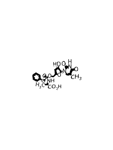 Cc1cn([C@@H]2OC(CO[P@@](=O)(NC(C)C(=O)O)Oc3ccccc3)=C[C@H]2O)c(=O)[nH]c1=O